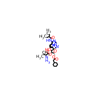 CCC(CC)C(=O)Nc1ncnn2c([C@]3(C#N)O[C@H](COC(=O)CC4CCCCC4)[C@@H](OC(=O)[C@@H](N)C(C)C)[C@H]3O)ccc12